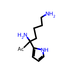 CC(=O)C(N)(CCCCN)c1ccc[nH]1